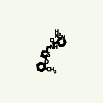 Cc1ccccc1Oc1ccc(CNC(=O)c2cccnc2N)s1